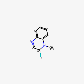 CN1c2ccccc2N=CC1F